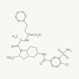 CCOC(=O)[C@H](CCc1ccccc1)N[C@@H](C)C(=O)N1C(C(=O)O)CC2CC(NC(=O)c3ccc(Cl)c(S(N)(=O)=O)c3)CCC21